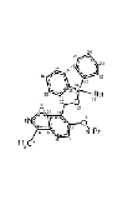 CCCOc1ccc2c(C)noc2c1CO[Si](c1ccccc1)(c1ccccc1)C(C)(C)C